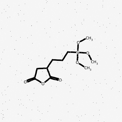 CO[Si](CCCC1CC(=O)OC1=O)(OC)OC